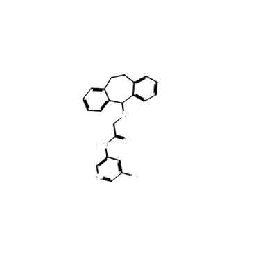 O=C(CNC1c2ccccc2CCc2ccccc21)Nc1cncc(Br)c1